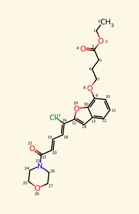 CCOC(=O)CCCOc1cccc2cc(/C(Cl)=C/C=C/C(=O)N3CCOCC3)oc12